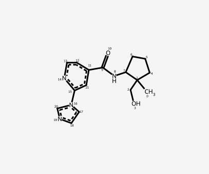 CC1(CO)CCCC1NC(=O)c1ccnc(-n2ccnc2)c1